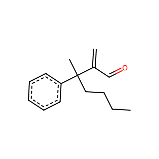 C=C(C=O)C(C)(CCCC)c1ccccc1